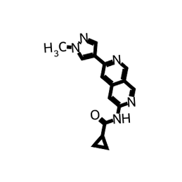 Cn1cc(-c2cc3cc(NC(=O)C4CC4)ncc3cn2)cn1